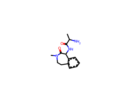 CC(N)C(=O)NC1C(=O)N(C)CCc2ccccc21